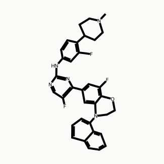 CN1CCC(c2ccc(Nc3ncc(F)c(-c4cc(F)c5c(c4)N(c4cccc6ccccc46)CCO5)n3)cc2F)CC1